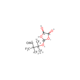 COC(C(F)(F)F)(C(F)(F)F)C(OB1OC(=O)C(=O)O1)(C(F)(F)F)C(F)(F)F